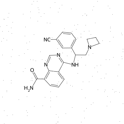 N#Cc1cccc(C(CN2CCC2)Nc2ncnc3c(C(N)=O)cccc23)c1